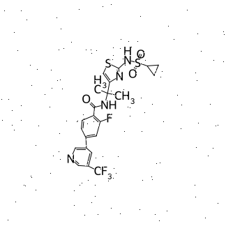 CC(C)(NC(=O)c1ccc(-c2cncc(C(F)(F)F)c2)cc1F)c1csc(NS(=O)(=O)C2CC2)n1